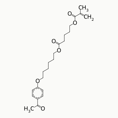 C=C(C)C(=O)OCCCCC(=O)OCCCCCCOc1ccc(C(C)=O)cc1